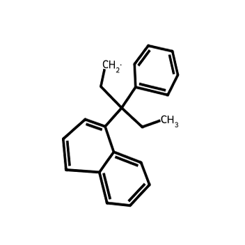 [CH2]CC(CC)(c1ccccc1)c1cccc2ccccc12